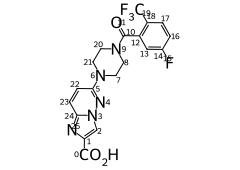 O=C(O)c1cn2nc(N3CCN(C(=O)c4cc(F)ccc4C(F)(F)F)CC3)ccc2n1